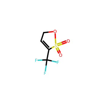 O=S1(=O)OCC=C1C(F)(F)F